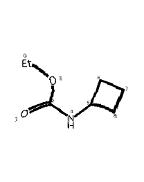 [CH2]COC(=O)NC1CCC1